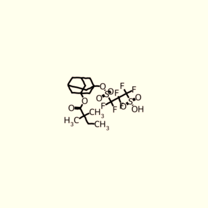 CCC(C)(C)C(=O)OC12CC3CC(C1)CC(OS(=O)(=O)C(F)(F)C(F)(F)C(F)(F)S(=O)(=O)O)(C3)C2